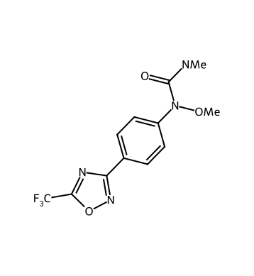 CNC(=O)N(OC)c1ccc(-c2noc(C(F)(F)F)n2)cc1